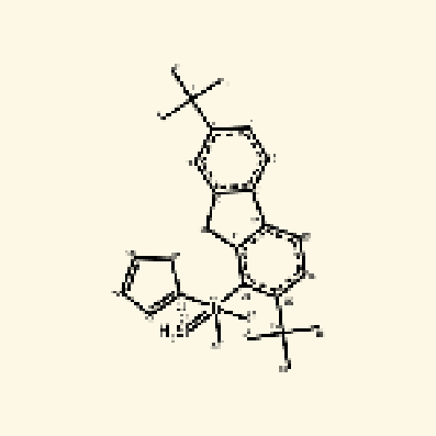 CC(C)(C)c1ccc2c(c1)Cc1c-2ccc(C(C)(C)C)[c]1[Ti]([CH3])([CH3])(=[SiH2])[C]1=CC=CC1